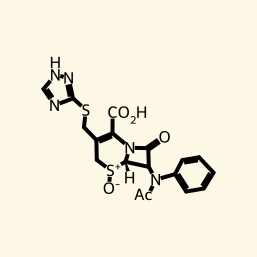 CC(=O)N(c1ccccc1)C1C(=O)N2C(C(=O)O)=C(CSc3nc[nH]n3)C[S+]([O-])[C@@H]12